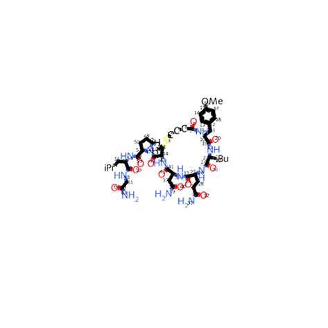 [2H]C1([2H])SCCCC(=O)NC(Cc2ccc(OC)cc2)C(=O)NC(C(C)CC)C(=O)NC(CCC(N)=O)C(=O)NC(CC(N)=O)C(=O)NC1C(=O)N1CCCC1C(=O)NC(CC(C)C)C(=O)NCC(N)=O